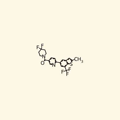 Cc1cc2cc(-c3ccc(C(=O)N4CCC(F)(F)CC4)cn3)cc(C(F)(F)F)c2s1